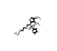 COCCOCN(c1onc(C)c1C)S(=O)(=O)c1cccs1